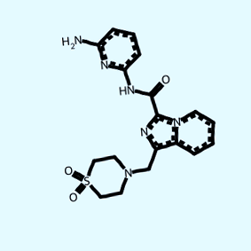 Nc1cccc(NC(=O)c2nc(CN3CCS(=O)(=O)CC3)c3ccccn23)n1